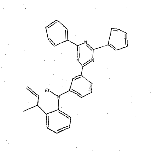 C=CC(C)c1ccccc1N(CC)c1cccc(-c2nc(-c3ccccc3)nc(-c3ccccc3)n2)c1